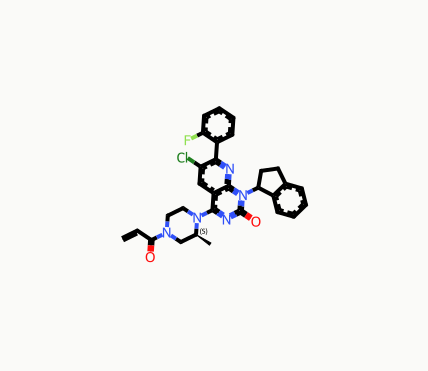 C=CC(=O)N1CCN(c2nc(=O)n(C3CCc4ccccc43)c3nc(-c4ccccc4F)c(Cl)cc23)[C@@H](C)C1